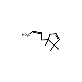 CC1(C)C=CCC1(C)C/C=C\C(=O)O